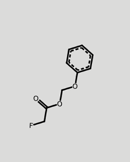 O=C(CF)OCOc1ccccc1